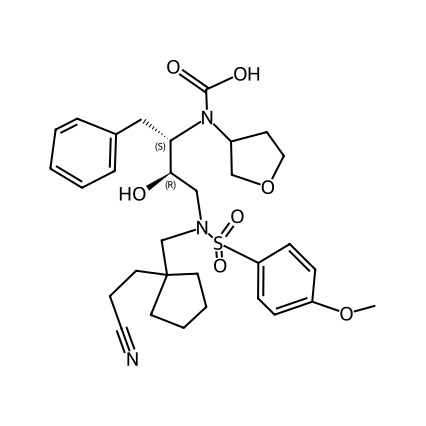 COc1ccc(S(=O)(=O)N(C[C@@H](O)[C@H](Cc2ccccc2)N(C(=O)O)C2CCOC2)CC2(CCC#N)CCCC2)cc1